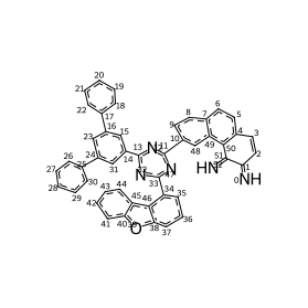 N=C1C=Cc2ccc3ccc(-c4nc(-c5cc(-c6ccccc6)cc(-c6ccccc6)c5)nc(-c5cccc6oc7ccccc7c56)n4)cc3c2C1=N